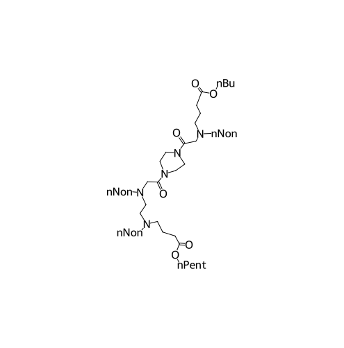 CCCCCCCCCN(CCCC(=O)OCCCCC)CCN(CCCCCCCCC)CC(=O)N1CCN(C(=O)CN(CCCCCCCCC)CCCC(=O)OCCCC)CC1